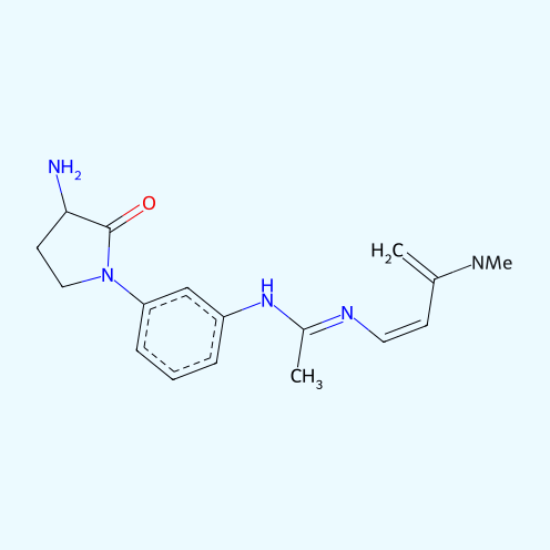 C=C(/C=C\N=C(/C)Nc1cccc(N2CCC(N)C2=O)c1)NC